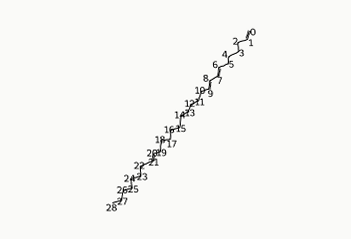 C=CCCCCC=CC=CCCCCCCCCCCC=CCCCCCCC